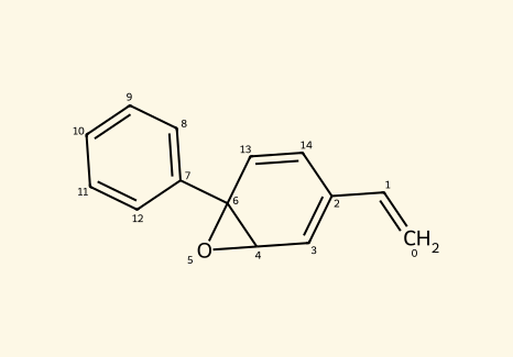 C=CC1=CC2OC2(c2ccccc2)C=C1